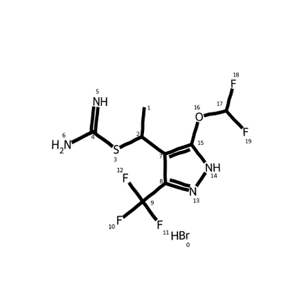 Br.CC(SC(=N)N)c1c(C(F)(F)F)n[nH]c1OC(F)F